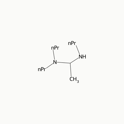 CCCNC(C)N(CCC)CCC